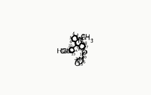 C[n+]1c2ccccc2c(-c2ccccc2)c2cc(OCCN3CCOCC3)ccc21.Cl.[Cl-]